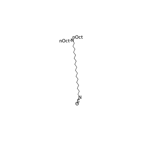 CCCCCCCCN(CCCCCCCC)CCCCCCCCCCCCCCCCCCN=C=O